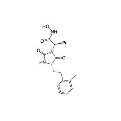 Cc1ccccc1CC[C@@H]1NC(=O)N([C@@H](C(=O)NO)C(C)C)C1=O